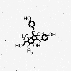 CC1=C(CSc2ccc(O)cc2)c2c(C)c(CCO)c(C)c(O)c2C1Sc1ccc(O)cc1